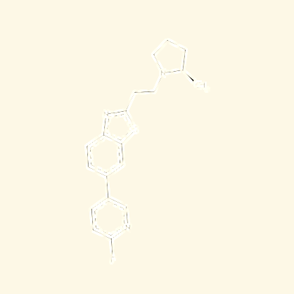 C[C@@H]1CCCN1CCc1nc2ccc(-c3ccc(F)nc3)cc2s1